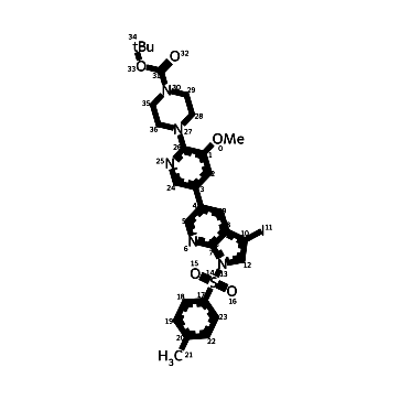 COc1cc(-c2cnc3c(c2)c(I)cn3S(=O)(=O)c2ccc(C)cc2)cnc1N1CCN(C(=O)OC(C)(C)C)CC1